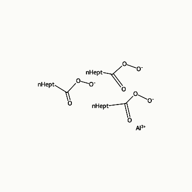 CCCCCCCC(=O)O[O-].CCCCCCCC(=O)O[O-].CCCCCCCC(=O)O[O-].[Al+3]